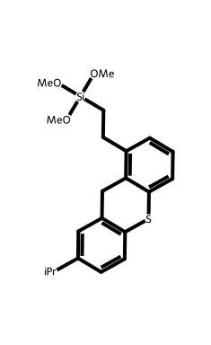 CO[Si](CCc1cccc2c1Cc1cc(C(C)C)ccc1S2)(OC)OC